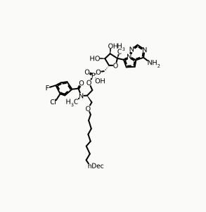 CCCCCCCCCCCCCCCCCCOC[C@H](COP(=O)(O)OC[C@H]1O[C@@](C)(c2ccc3c(N)ncnn23)[C@H](O)[C@@H]1O)N(C)C(=O)c1ccc(F)c(Cl)c1